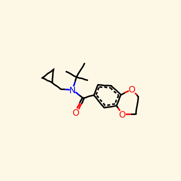 CC(C)(C)N(CC1CC1)C(=O)c1ccc2c(c1)OCCO2